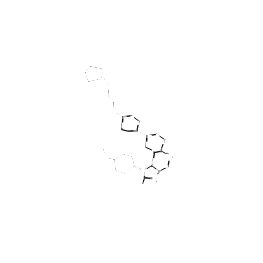 COC1CCC(n2c(=O)n(C)c3cnc4ccc(-c5ccc(OCCCN6CCCC6)cc5)cc4c32)CC1